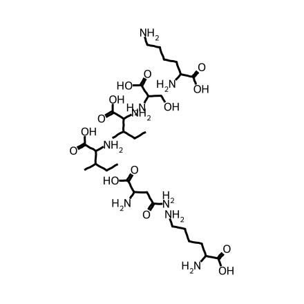 CCC(C)C(N)C(=O)O.CCC(C)C(N)C(=O)O.NC(=O)CC(N)C(=O)O.NC(CO)C(=O)O.NCCCCC(N)C(=O)O.NCCCCC(N)C(=O)O